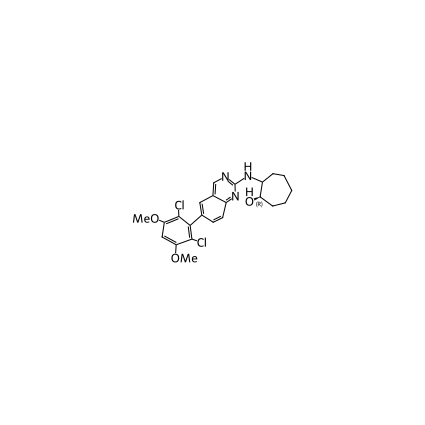 COc1cc(OC)c(Cl)c(-c2ccc3nc(NC4CCCCC[C@H]4O)ncc3c2)c1Cl